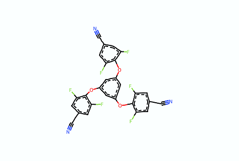 N#Cc1cc(F)c(Oc2cc(Oc3c(F)cc(C#N)cc3F)cc(Oc3c(F)cc(C#N)cc3F)c2)c(F)c1